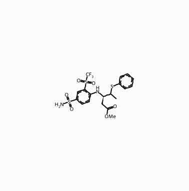 COC(=O)C[C@@H](Nc1ccc(S(N)(=O)=O)cc1S(=O)(=O)C(F)(F)F)C(C)Sc1ccccc1